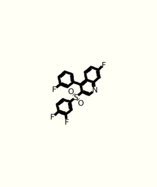 O=S(=O)(c1ccc(F)c(F)c1)c1cnc2cc(F)ccc2c1-c1cccc(F)c1